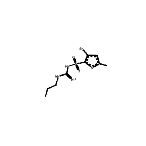 CCCNC(=N)NS(=O)(=O)c1sc(C)cc1Br